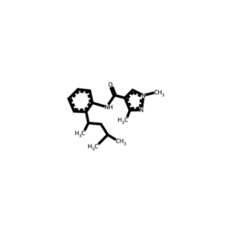 Cc1nn(C)cc1C(=O)Nc1ccccc1C(C)CC(C)C